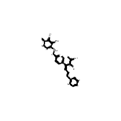 C=C(\C=C/C(=C\C)C(=C/C=C/c1ccccc1)/C(F)=C(\C)F)COC1=CCC(C)C(F)=C1F